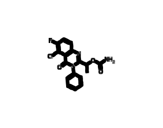 CC(OC(N)=O)c1nc2ccc(F)c(Cl)c2c(=O)n1-c1ccccc1